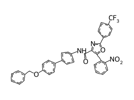 O=C(Nc1ccc(-c2ccc(OCc3ccccc3)cc2)cc1)c1nc(-c2ccc(C(F)(F)F)cc2)oc1-c1ccccc1[N+](=O)[O-]